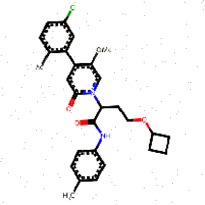 COc1cn(C(CCOC2CCC2)C(=O)Nc2ccc(C)cc2)c(=O)cc1-c1cc(Cl)ccc1C(C)=O